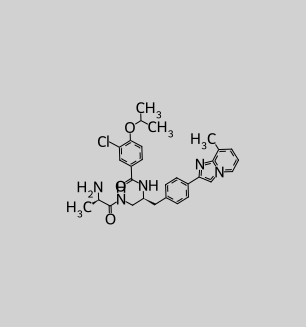 Cc1cccn2cc(-c3ccc(C[C@@H](CNC(=O)[C@@H](C)N)NC(=O)c4ccc(OC(C)C)c(Cl)c4)cc3)nc12